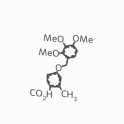 COc1ccc(COc2ccc(C(=O)O)c(C)c2)c(OC)c1OC